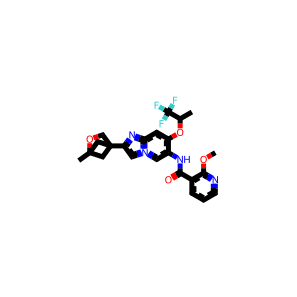 COc1ncccc1C(=O)Nc1cn2cc(C34COC(C)(C3)C4)nc2cc1OC(C)C(F)(F)F